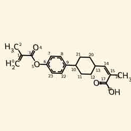 C=C(C)C(=O)Oc1ccc(C2CCC(C=C(C)C(=O)O)CC2)cc1